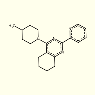 CC1CCN(c2nc(-c3ccccn3)nc3c2CCCC3)CC1